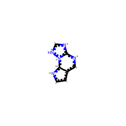 c1cc2cnc3nc[nH]n3c-2n1